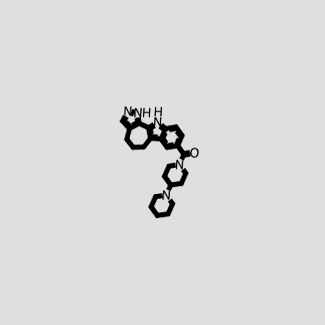 O=C(c1ccc2[nH]c3c(c2c1)CCCc1cn[nH]c1-3)N1CCC(N2CCCCC2)CC1